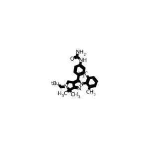 Cc1cccc(C)c1-n1nc2c(c1-c1ccc(NC(N)=O)cc1)CN(CC(C)(C)C)C2(C)C